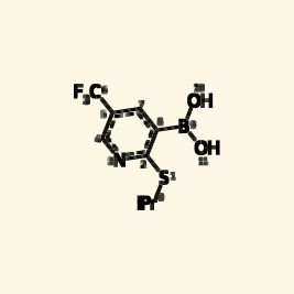 CC(C)Sc1ncc(C(F)(F)F)cc1B(O)O